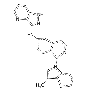 Cc1cn(-c2nccc3cc(Nc4n[nH]c5cccnc45)ccc23)c2ccccc12